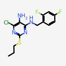 CCCSc1nc(Cl)c(N)c(NCc2ccc(F)cc2F)n1